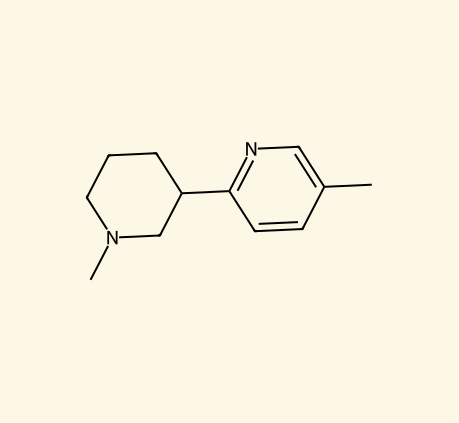 Cc1ccc(C2CCCN(C)C2)nc1